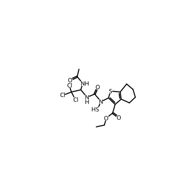 CCOC(=O)c1c(N(S)C(=O)NC(NC(C)=O)C(Cl)(Cl)Cl)sc2c1CCCC2